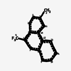 Cc1ccc2c(C(F)(F)F)cc3ccccc3c2c1